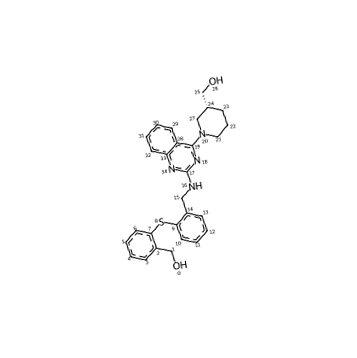 OCc1ccccc1Sc1ccccc1CNc1nc(N2CCC[C@@H](CO)C2)c2ccccc2n1